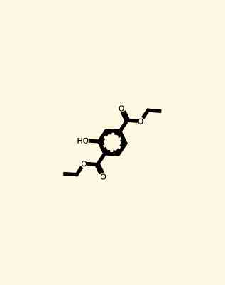 CCOC(=O)c1ccc(C(=O)OCC)c(O)c1